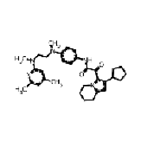 Cc1cc(C)nc(N(C)CCN(C)c2ccc(NC(=O)C(=O)c3c(C4CCCC4)cc4n3CCCC4)cc2)c1